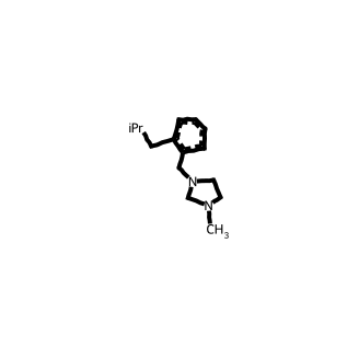 CC(C)Cc1ccccc1CN1CCN(C)C1